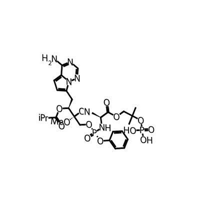 CO[C@](C#N)(COP(=O)(N[C@@H](C)C(=O)OCC(C)(C)OP(=O)(O)O)Oc1ccccc1)[C@H](Cc1ccc2c(N)ncnn12)OC(=O)C(C)C